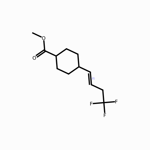 COC(=O)C1CCC(/C=C/CC(F)(F)F)CC1